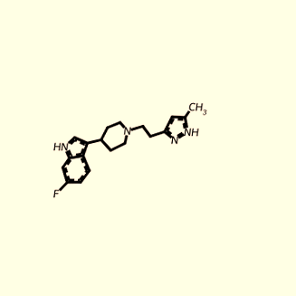 Cc1cc(CCN2CCC(c3c[nH]c4cc(F)ccc34)CC2)n[nH]1